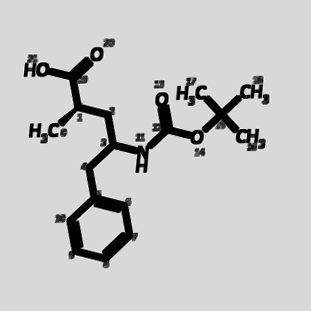 C[C@H](CC(Cc1ccccc1)NC(=O)OC(C)(C)C)C(=O)O